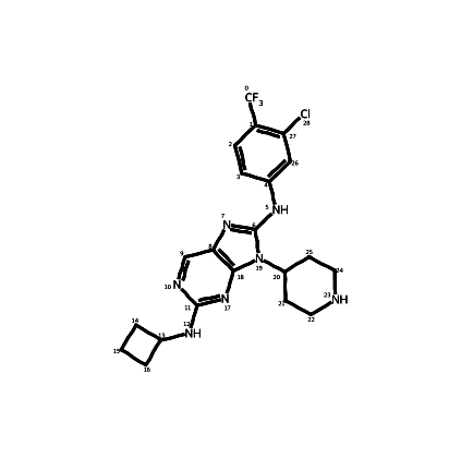 FC(F)(F)c1ccc(Nc2nc3cnc(NC4CCC4)nc3n2C2CCNCC2)cc1Cl